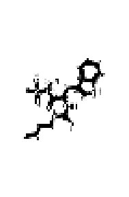 C=CCCOC(=O)NC(Cc1c[nH]c2ccccc12)C(=O)N(C#N)S(C)(=O)=O